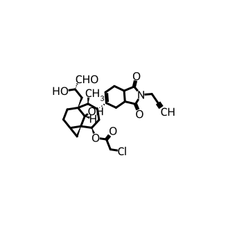 C#CCN1C(=O)C2CC=C([C@@H]3C[C@@H](OC(=O)CCl)[C@]45CC4CC[C@](C[C@H](O)C=O)([C@H]3C)[C@@H]5O)CC2C1=O